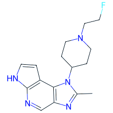 Cc1nc2cnc3[nH]ccc3c2n1C1CCN(CCF)CC1